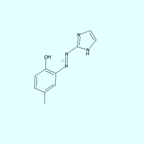 Cc1ccc(O)c(/N=N/c2ncc[nH]2)c1